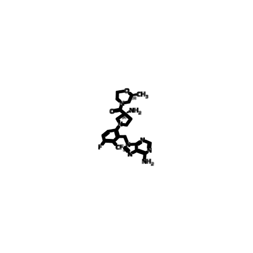 C[C@H]1CN(C(=O)[C@@]2(N)CCN(c3ccc(F)c(C(F)(F)F)c3Cn3cnc4c(N)ncnc43)C2)CCO1